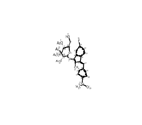 CC(=O)O[C@@H]1[C@@H](CO)O[C](OC2=C(C)C(=Cc3ccc([S+](C)[O-])cc3)c3ccc(F)cc32)[C@H](OC(C)=O)[C@]1(OC(C)=O)C(C)=O